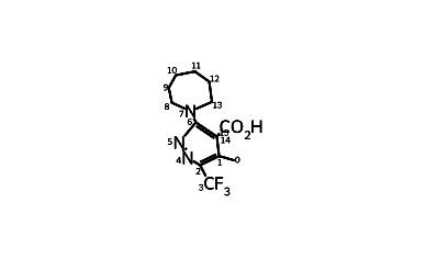 Cc1c(C(F)(F)F)nnc(N2CCCCCC2)c1C(=O)O